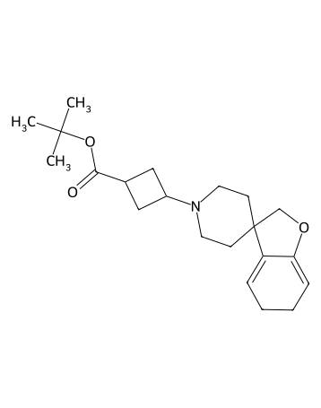 CC(C)(C)OC(=O)C1CC(N2CCC3(CC2)COC2=CCCC=C23)C1